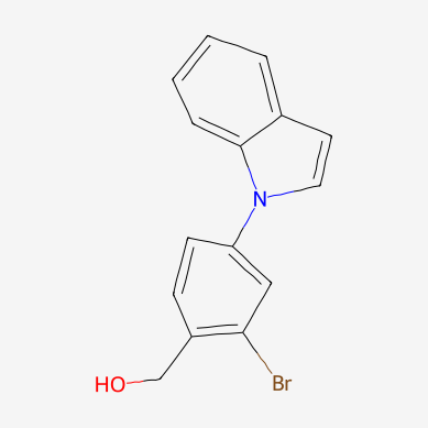 OCc1ccc(-n2ccc3ccccc32)cc1Br